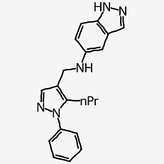 CCCc1c(CNc2ccc3[nH]ncc3c2)cnn1-c1ccccc1